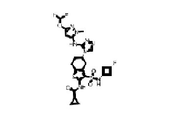 Cn1nc(OC(F)F)cc1Nc1nncn1[C@H]1CCc2sc(NC(=O)C3CC3)c(S(=O)(=O)N[C@H]3C[C@@H](F)C3)c2C1